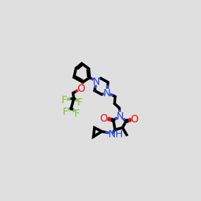 CC1C(=O)N(CCCN2CCN(c3ccccc3OCC(F)(F)C(F)F)CC2)C(=O)C1NC1CC1